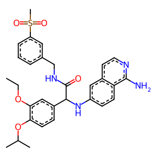 CCOc1cc(C(Nc2ccc3c(N)nccc3c2)C(=O)NCc2cccc(S(C)(=O)=O)c2)ccc1OC(C)C